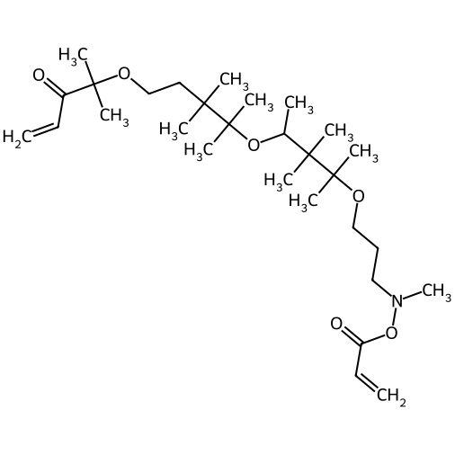 C=CC(=O)ON(C)CCCOC(C)(C)C(C)(C)C(C)OC(C)(C)C(C)(C)CCOC(C)(C)C(=O)C=C